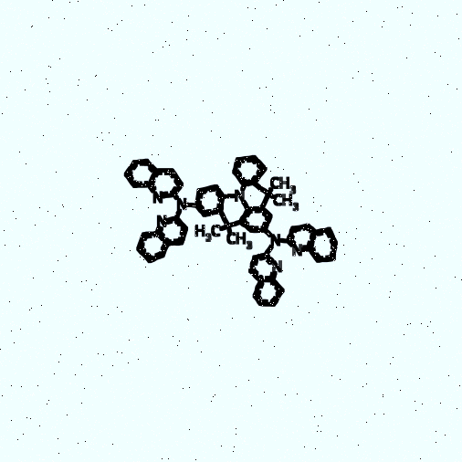 CC1(C)c2ccccc2N2c3ccc(N(c4ccc5ccccc5n4)c4ccc5ccccc5n4)cc3C(C)(C)c3cc(N(c4ccc5ccccc5n4)c4ccc5ccccc5n4)cc1c32